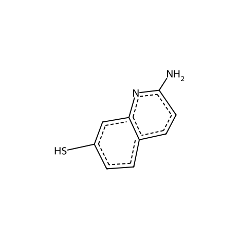 Nc1ccc2ccc(S)cc2n1